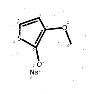 COc1ccsc1[O-].[Na+]